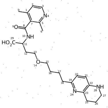 Cc1ccnc(C)c1C(=O)NC(CCOCCCCc1ccc2c(n1)CCCN2)C(=O)O